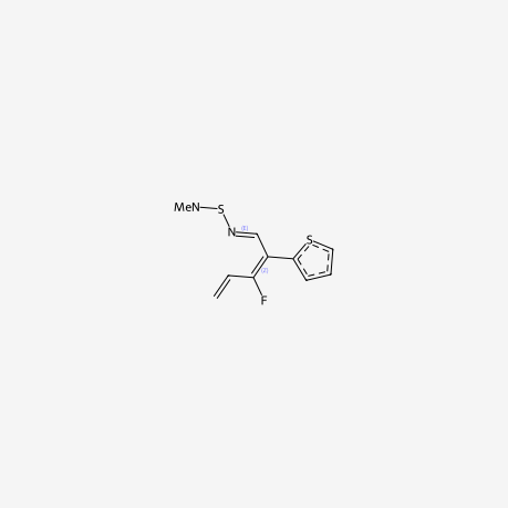 C=C/C(F)=C(\C=N\SNC)c1cccs1